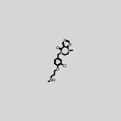 CNCCCOc1ccc(CN2CCN(C)c3ncncc3C2=O)cc1Cl